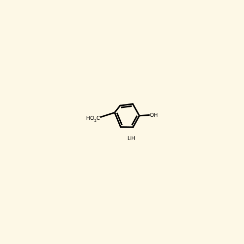 O=C(O)c1ccc(O)cc1.[LiH]